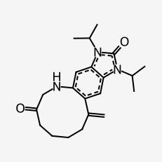 C=C1CCCCC(=O)CNc2cc3c(cc21)n(C(C)C)c(=O)n3C(C)C